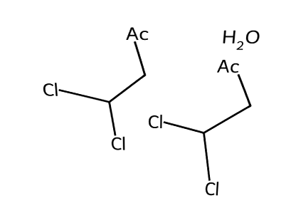 CC(=O)CC(Cl)Cl.CC(=O)CC(Cl)Cl.O